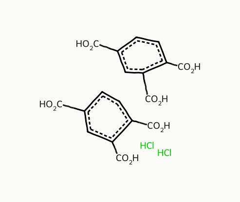 Cl.Cl.O=C(O)c1ccc(C(=O)O)c(C(=O)O)c1.O=C(O)c1ccc(C(=O)O)c(C(=O)O)c1